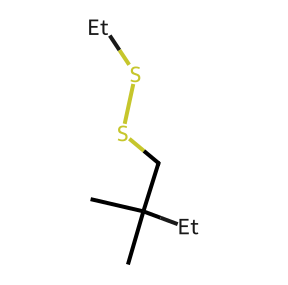 CCSSCC(C)(C)CC